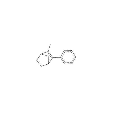 CC1=C(c2ccccc2)C2CCC1C2